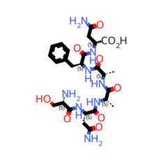 C[C@H](NC(=O)[C@H](C)NC(=O)[C@H](CC(N)=O)NC(=O)[C@@H](N)CO)C(=O)N[C@@H](Cc1ccccc1)C(=O)N[C@@H](CC(N)=O)C(=O)O